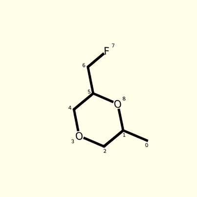 CC1COCC(CF)O1